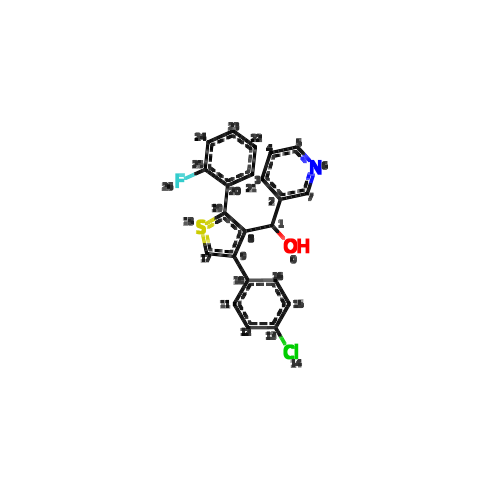 OC(c1cccnc1)c1c(-c2ccc(Cl)cc2)csc1-c1ccccc1F